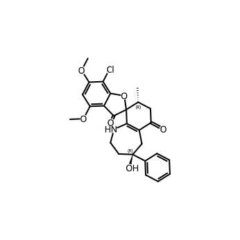 COc1cc(OC)c2c(c1Cl)OC1(C2=O)C2=C(C[C@](O)(c3ccccc3)CCN2)C(=O)C[C@H]1C